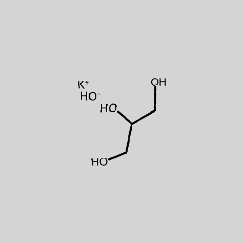 OCC(O)CO.[K+].[OH-]